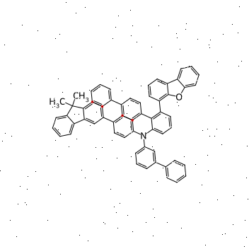 CC1(C)c2ccccc2-c2cc(-c3ccc(N(c4cccc(-c5ccccc5)c4)c4cccc(-c5cccc6c5oc5ccccc56)c4-c4ccc(-c5ccccc5)cc4)cc3)ccc21